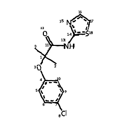 CC(C)(Oc1ccc(Cl)cc1)C(=O)Nc1nccs1